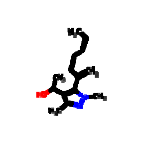 C=C(/C=C\C=C/C)c1c(C(C)O)c(C)nn1C